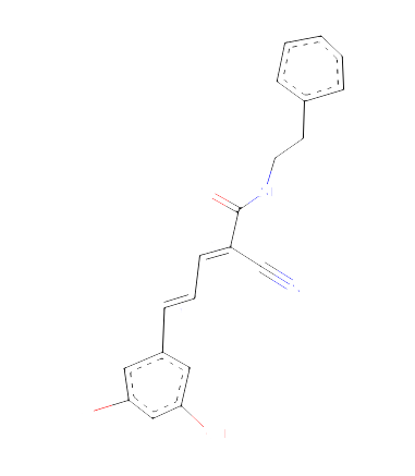 N#C/C(=C\C=C\c1cc(O)cc(O)c1)C(=O)NCCc1ccccc1